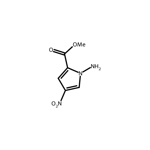 COC(=O)c1cc([N+](=O)[O-])cn1N